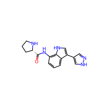 O=C(Nc1cccc2c(-c3cn[nH]c3)c[nH]c12)[C@@H]1CCCN1